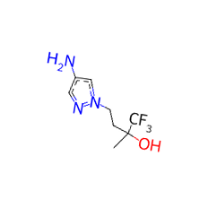 CC(O)(CCn1cc(N)cn1)C(F)(F)F